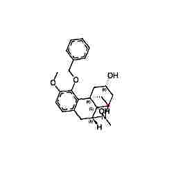 COc1ccc2c(c1OCc1ccccc1)[C@]13CCN(C)[C@H](C2)[C@]1(O)CC[C@@H](O)C3